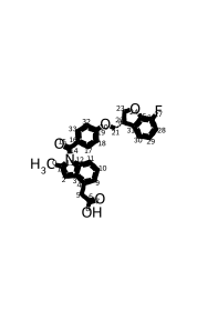 Cc1cc2c(CC(=O)O)cccc2n1C(=O)c1ccc(OC[C@@H]2COc3c(F)cccc32)cc1